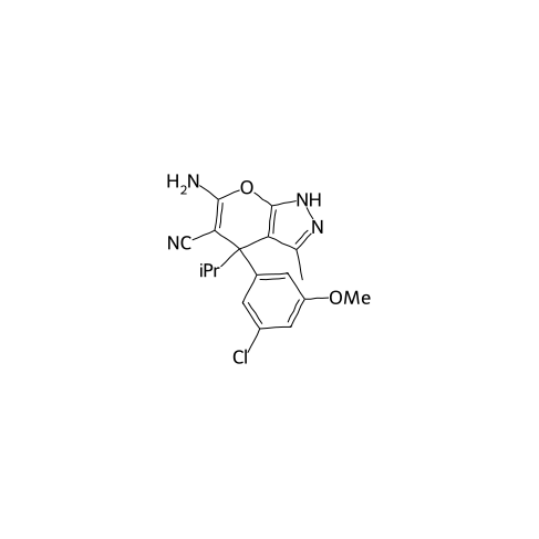 COc1cc(Cl)cc(C2(C(C)C)C(C#N)=C(N)Oc3[nH]nc(C)c32)c1